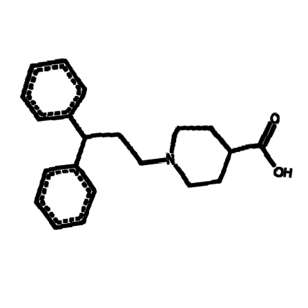 O=C(O)C1CCN(CCC(c2ccccc2)c2ccccc2)CC1